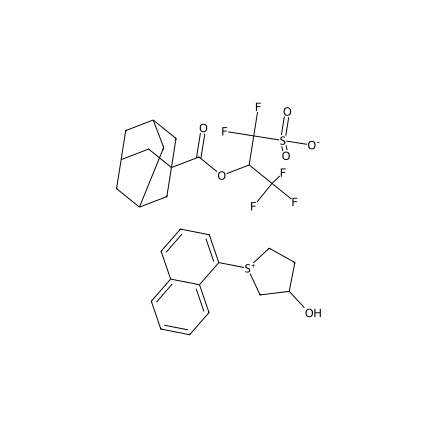 O=C(OC(C(F)(F)F)C(F)(F)S(=O)(=O)[O-])C12CC3CC(CC(C3)C1)C2.OC1CC[S+](c2cccc3ccccc23)C1